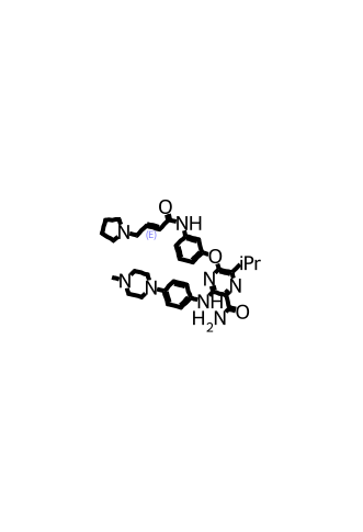 CC(C)c1nc(C(N)=O)c(Nc2ccc(N3CCN(C)CC3)cc2)nc1Oc1cccc(NC(=O)/C=C/CN2CCCC2)c1